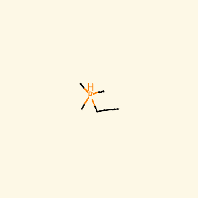 CC[PH](C)(C)C